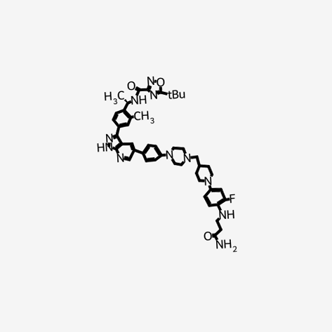 Cc1cc(-c2n[nH]c3ncc(-c4ccc(N5CCN(CC6CCN(c7ccc(NCCC(N)=O)c(F)c7)CC6)CC5)cc4)cc23)ccc1[C@@H](C)NC(=O)c1noc(C(C)(C)C)n1